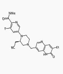 CCc1cc2ncc(CN3CCN(c4cnc(C(=O)NC)c(F)c4)[C@H](CC#N)C3)cc2[nH]c1=O